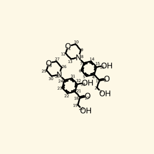 O=C(CO)c1ccc(N2CCOCC2)cc1O.O=C(CO)c1ccc(N2CCOCC2)cc1O